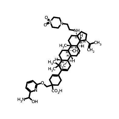 C=C(C)[C@@H]1CC[C@]2(NCCN3CCS(=O)(=O)CC3)CC[C@]3(C)[C@H](CC[C@@H]4[C@@]5(C)CC=C(C6=CCC(COc7cccc(C(N)O)n7)(C(=O)O)CC6)C(C)(C)[C@@H]5CC[C@]43C)[C@@H]12